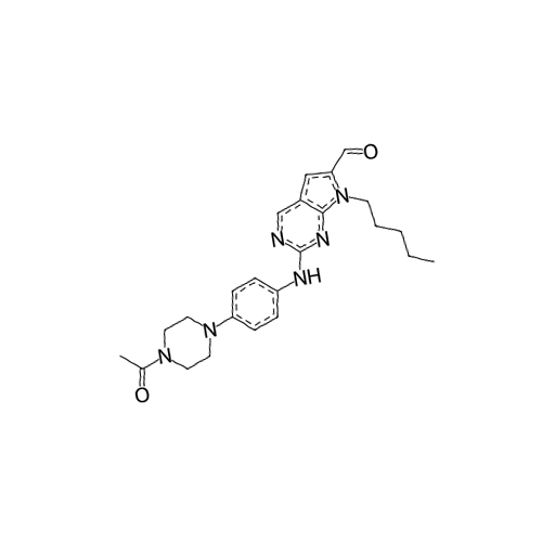 CCCCCn1c(C=O)cc2cnc(Nc3ccc(N4CCN(C(C)=O)CC4)cc3)nc21